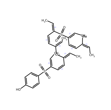 C\C=C(/C=C\C(=C/C)S(=O)(=O)C(/C=C\C(=C/C)C(C)(C)C)=C/C)OC(/C=C\C(=C/C)S(=O)(=O)c1ccc(O)cc1)=C/C